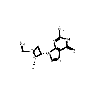 Nc1nc2c(ncn2[C@H]2C[C@H](CO)[C@H]2F)c(=O)[nH]1